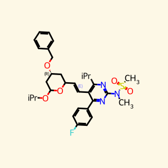 CC(C)OC1C[C@H](OCc2ccccc2)CC(/C=C/c2c(-c3ccc(F)cc3)nc(N(C)S(C)(=O)=O)nc2C(C)C)O1